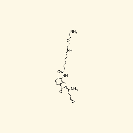 CC(CCC=O)N1Cc2c(NC(=O)CCCCCCNCCOCCN)cccc2C1=O